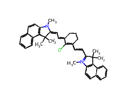 CN1/C(=C/C=C2\CCCC(/C=C/C3=[N+](C)c4ccc5ccccc5c4C3(C)C)=C2Cl)C(C)(C)c2c1ccc1ccccc21